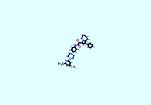 Cc1cc(C)nc(N2CCN(c3ccc(NC(=O)C(=O)c4cc(-c5ccccc5)c5n4CCCCC5)cc3)CC2)c1